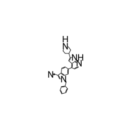 N#Cc1cn(Cc2ccccc2)c2cc(-c3ccnc4[nH]c(C5CCNCC5)cc34)ccc12